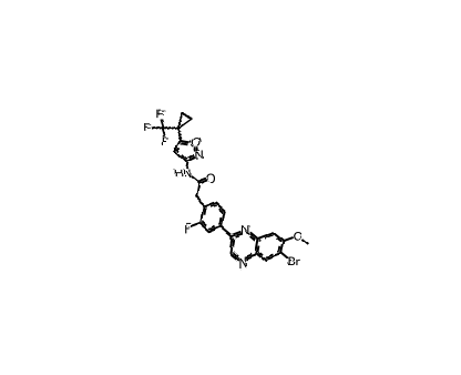 COc1cc2nc(-c3ccc(CC(=O)Nc4cc(C5(C(F)(F)F)CC5)on4)c(F)c3)cnc2cc1Br